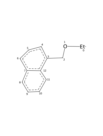 C[CH]OCc1cccc2ccccc12